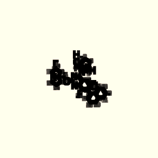 C[C@]12CC[C@H](CN(c3nc(OC[C@@]45CCCN4C[C@H](F)C5)nc4c(F)c(-c5cccc6cccc(Cl)c56)c(F)cc34)C1)N2